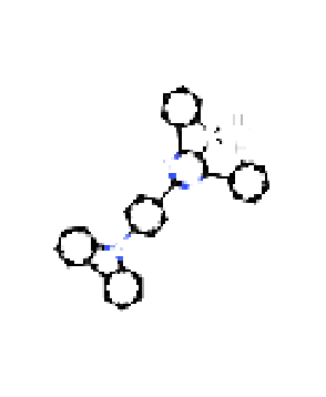 C[Si]1(C)c2ccccc2-c2nc(-c3ccc(-n4c5ccccc5c5ccccc54)cc3)nc(-c3ccccc3)c21